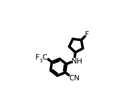 N#Cc1ccc(C(F)(F)F)cc1NC1CCC(F)C1